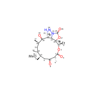 CC[C@H]1OC(=O)[C@H](C)C(=O)C[C@@H](C)[C@](C)(OC)C[C@@H](C)C(=O)[C@H](C)[C@H]2N(N)C(=O)O[C@]12C